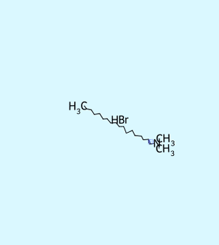 Br.CCCCCCCCCCCCCCCC/C=C/N(C)C